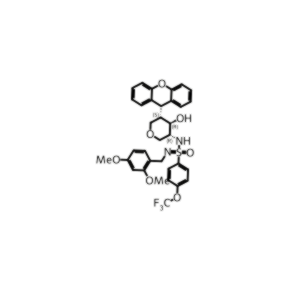 COc1ccc(CN=S(=O)(N[C@@H]2COC[C@H](C3c4ccccc4Oc4ccccc43)[C@H]2O)c2ccc(OC(F)(F)F)cc2)c(OC)c1